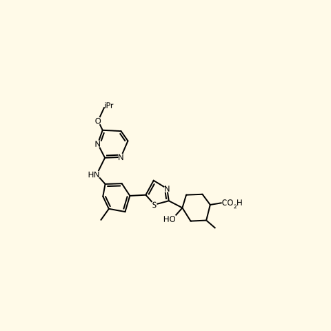 Cc1cc(Nc2nccc(OC(C)C)n2)cc(-c2cnc(C3(O)CCC(C(=O)O)C(C)C3)s2)c1